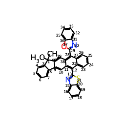 CC1(C)c2ccccc2-c2cc3c(-c4nc5ccccc5s4)c4ccccc4c(-c4nc5ccccc5o4)c3cc21